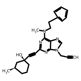 C#CCn1cnc2c(N(C)CCc3ccccc3)nc(C#C[C@]3(O)CCC[C@@H](C)C3)nc21